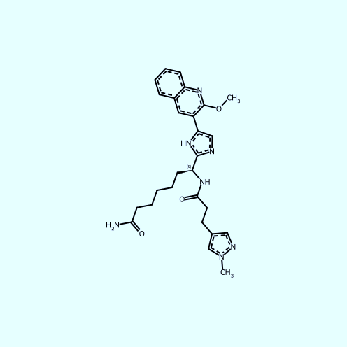 COc1nc2ccccc2cc1-c1cnc([C@H](CCCCCC(N)=O)NC(=O)CCc2cnn(C)c2)[nH]1